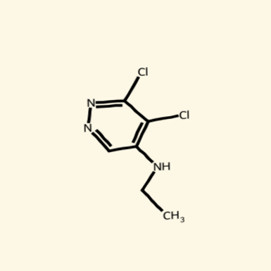 CCNc1cnnc(Cl)c1Cl